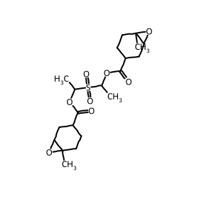 CC(OC(=O)C1CCC2(C)OC2C1)S(=O)(=O)C(C)OC(=O)C1CCC2(C)OC2C1